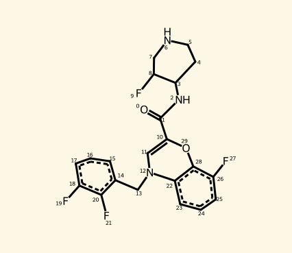 O=C(NC1CCNCC1F)C1=CN(Cc2cccc(F)c2F)c2cccc(F)c2O1